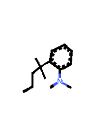 CCCC(C)(C)c1ccccc1N(C)C